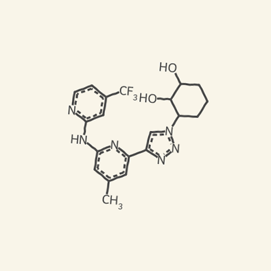 Cc1cc(Nc2cc(C(F)(F)F)ccn2)nc(-c2cn(C3CCCC(O)C3O)nn2)c1